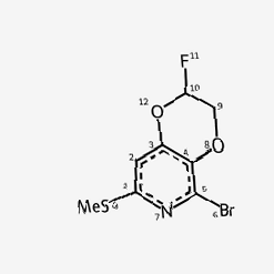 CSc1cc2c(c(Br)n1)OCC(F)O2